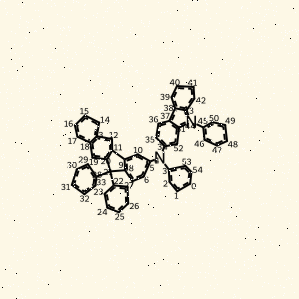 c1ccc(N(c2ccc3c(c2)-c2cc4ccccc4cc2C3(c2ccccc2)c2ccccc2)c2ccc3c4ccccc4n(-c4ccccc4)c3c2)cc1